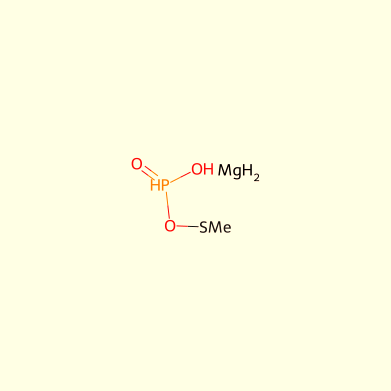 CSO[PH](=O)O.[MgH2]